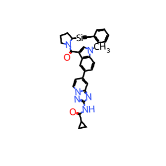 Cn1cc(C(=O)N2CCCC2[Si]#Cc2ccccc2)c2cc(-c3ccn4nc(NC(=O)C5CC5)nc4c3)ccc21